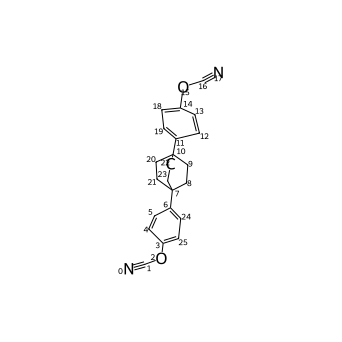 N#COc1ccc(C23CCC(c4ccc(OC#N)cc4)(CC2)CC3)cc1